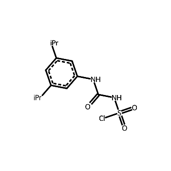 CC(C)c1cc(NC(=O)NS(=O)(=O)Cl)cc(C(C)C)c1